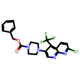 O=C(OCc1ccccc1)N1CCN(c2cnc3nc(Cl)ccc3c2C(F)(F)F)CC1